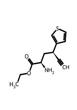 C#C[C@@H](C[C@@H](N)C(=O)OCC)c1ccsc1